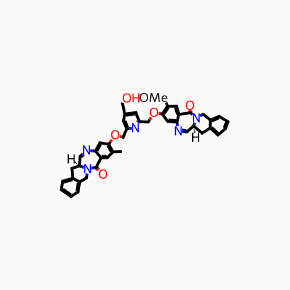 COc1cc2c(cc1OCc1cc(CO)cc(COc3cc4c(cc3C)C(=O)N3Cc5ccccc5C[C@H]3C=N4)n1)N=C[C@@H]1Cc3ccccc3CN1C2=O